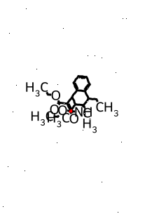 CCOC(=O)C1=C(C)NC2(C)C(CC)c3ccccc3C1C2C(=O)OCC